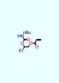 C=CC(=O)OCC(CC)OC(=O)NCCCC